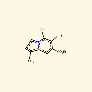 CCOC(=O)c1cc2c(C)ccn2c(C(C)=O)c1C